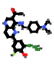 CC(=O)c1cnc2ccc(-c3cc(F)c(O)c(Cl)c3)nc2c1NC[C@H]1CC[C@H](N(C)C)CC1.Cl.Cl